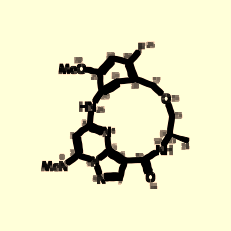 CNc1cc2nc3c(cnn13)C(=O)N[C@H](C)COCc1cc(c(OC)cc1F)N2